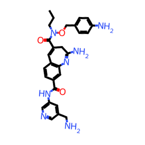 CCCN(OCc1ccc(N)cc1)C(=O)C1=Cc2ccc(C(=O)Nc3cncc(CN)c3)cc2N=C(N)C1